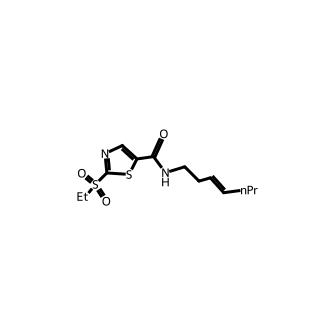 CCC/C=C/CCNC(=O)c1cnc(S(=O)(=O)CC)s1